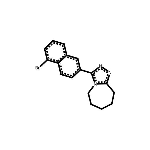 Brc1cccc2cc(-c3nnc4n3CCCCC4)ccc12